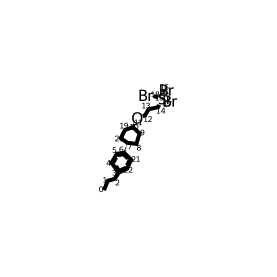 CCCc1ccc([C@H]2CC[C@H](OCCC[Si](Br)(Br)Br)CC2)cc1